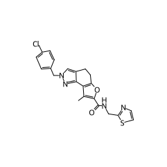 Cc1c(C(=O)NCc2nccs2)oc2c1-c1nn(Cc3ccc(Cl)cc3)cc1CC2